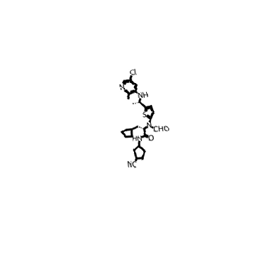 Cc1ncc(Cl)cc1N[C@@H](C)c1ccc(N(C=O)[C@@H](CC2CCCC2)C(=O)NC2CCC(C#N)C2)s1